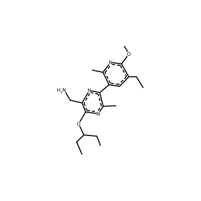 CCc1cc(-c2nc(CN)c(OC(CC)CC)nc2C)c(C)nc1OC